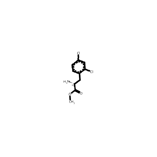 COC(=O)[C@H](N)Cc1ccc(Cl)cc1Cl